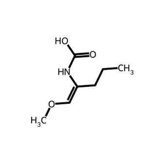 CCC/C(=C/OC)NC(=O)O